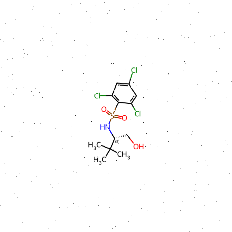 CC(C)(C)[C@@H](CO)NS(=O)(=O)c1c(Cl)cc(Cl)cc1Cl